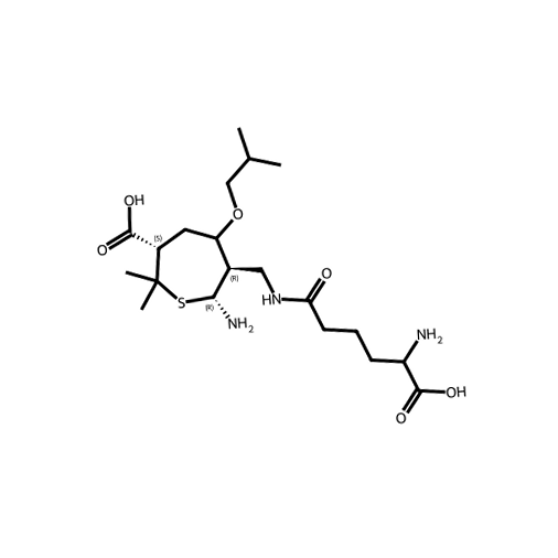 CC(C)COC1C[C@@H](C(=O)O)C(C)(C)S[C@@H](N)[C@@H]1CNC(=O)CCCC(N)C(=O)O